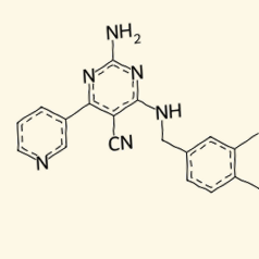 Cc1ccc(CNc2nc(N)nc(-c3cccnc3)c2C#N)cc1C